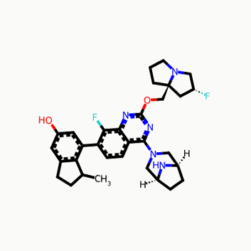 CC1CCc2cc(O)cc(-c3ccc4c(N5C[C@H]6CC[C@@H](C5)N6)nc(OC[C@@]56CCCN5C[C@H](F)C6)nc4c3F)c21